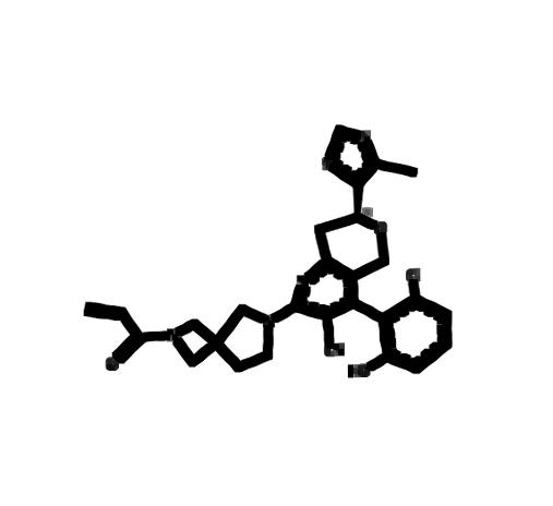 C=CC(=O)N1CC2(CCN(c3nc4c(c(-c5c(O)cccc5Cl)c3C#N)CO[C@H](c3scnc3C)C4)C2)C1